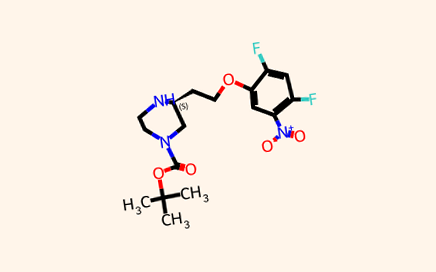 CC(C)(C)OC(=O)N1CCN[C@@H](CCOc2cc([N+](=O)[O-])c(F)cc2F)C1